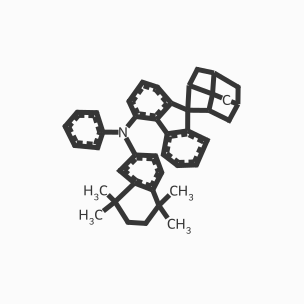 CC1(C)CCC(C)(C)c2cc(N(c3ccccc3)c3cccc4c3-c3ccccc3C43C4CC5CC6CC3C64C5)ccc21